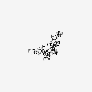 CC(C)(C)C(=O)NCc1ccc(Cl)c(Nc2nc3cc(C(=O)Nc4ccc(OC(F)(F)F)cc4)c(N4CCC(F)C4)cc3n2CC(F)F)c1Cl